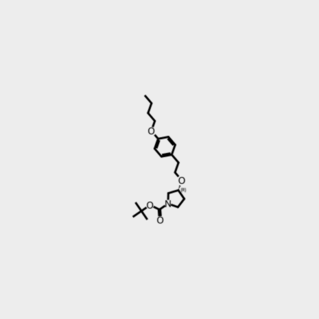 CCCCOc1ccc(CCO[C@@H]2CCN(C(=O)OC(C)(C)C)C2)cc1